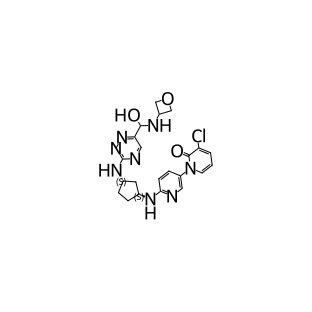 O=c1c(Cl)cccn1-c1ccc(N[C@H]2CC[C@H](Nc3ncc(C(O)NC4COC4)nn3)C2)nc1